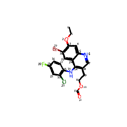 CCOc1cc2ncc(CCOC=O)c(Nc3ccc(F)cc3Cl)c2cc1Br